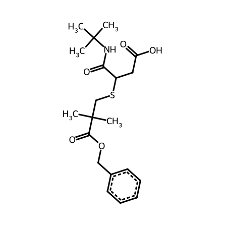 CC(C)(C)NC(=O)C(CC(=O)O)SCC(C)(C)C(=O)OCc1ccccc1